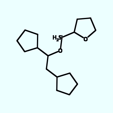 C1CCC(CC(O[SiH2]C2CCCO2)C2CCCC2)C1